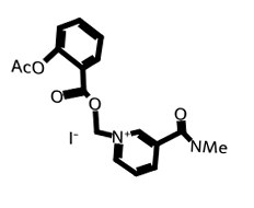 CNC(=O)c1ccc[n+](COC(=O)c2ccccc2OC(C)=O)c1.[I-]